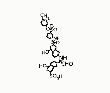 Cc1ccc(OS(=O)(=O)c2cccc(NS(=O)(=O)c3cc(O)c4ccc(NN(C=O)c5ccc6c(O)cc(S(=O)(=O)O)cc6c5)cc4c3)c2)cc1